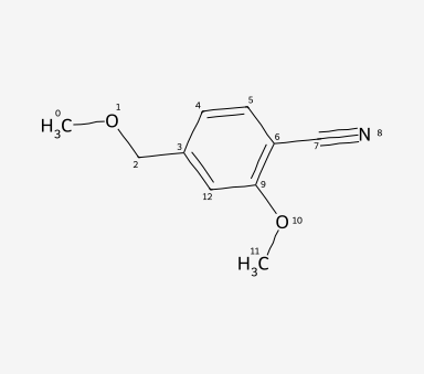 COCc1ccc(C#N)c(OC)c1